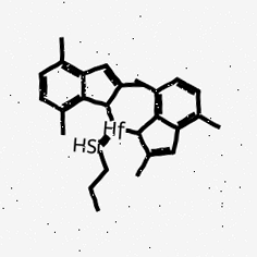 CCC[SiH]=[Hf]([CH]1C(C)=Cc2c(C)ccc(C)c21)[CH]1C(C)=Cc2c(C)ccc(C)c21